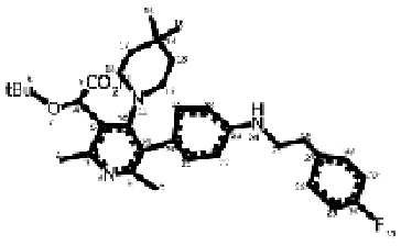 Cc1nc(C)c(C(OC(C)(C)C)C(=O)O)c(N2CCC(C)(C)CC2)c1-c1ccc(NCCc2ccc(F)cc2)cc1